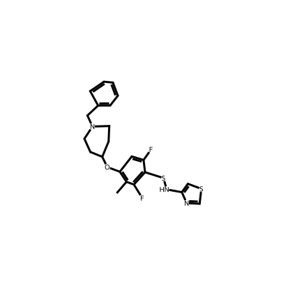 Cc1c(OC2CCN(Cc3ccccc3)CC2)cc(F)c(SNc2cscn2)c1F